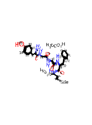 CC(=O)O.CSCCC(NC(=O)C(Cc1ccccc1)NC(=O)CNC(=O)CNC(=O)C(N)Cc1ccc(O)cc1)C(=O)O